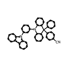 N#Cc1ccc(C2(c3ccccc3)c3ccccc3N(c3cccc(-n4c5ccccc5c5ccccc54)c3)c3ccccc32)cc1